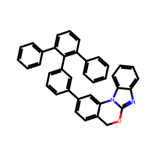 c1ccc(-c2cccc(-c3ccccc3)c2-c2cccc(-c3ccc4c(c3)-n3c(nc5ccccc53)OC4)c2)cc1